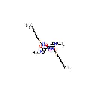 CCCCCCCCCCCSCCC(=O)Nc1cc2c(cc1C1=C([O-])/C(=c3/cc4c(cc3NC(=O)CCSCCCCCCCCCCC)=[N+](CC)CC4)C1=O)CCN2CC